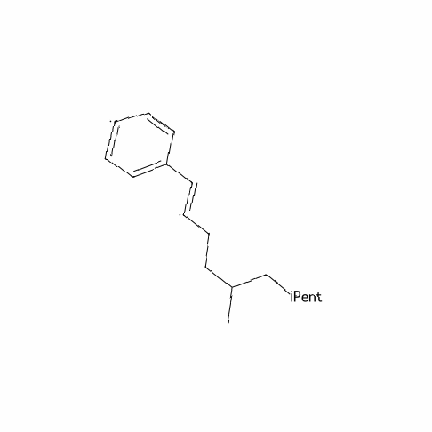 CCCC(C)CC(C)CC[C]=Cc1cc[c]cc1